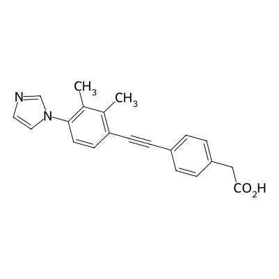 Cc1c(C#Cc2ccc(CC(=O)O)cc2)ccc(-n2ccnc2)c1C